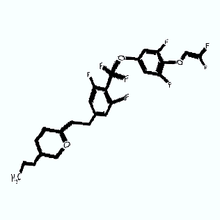 CCCC1CCC(CCc2cc(F)c(C(F)(F)Oc3cc(F)c(OC=C(F)F)c(F)c3)c(F)c2)OC1